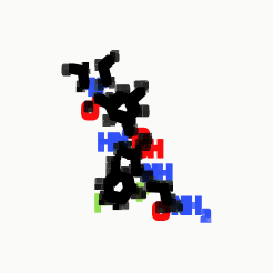 CCCN(CCC)C(=O)c1cc(C)cc(C(=O)N[C@@H](Cc2cc(F)cc(F)c2)[C@H](O)CNCCC(N)=O)c1